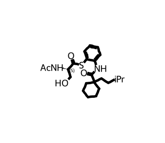 CC(=O)N[C@@H](CO)C(=O)Sc1ccccc1NC(=O)C1(CCC(C)C)CCCCC1